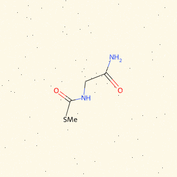 CSC(=O)NCC(N)=O